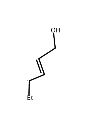 CC[CH]C=CCO